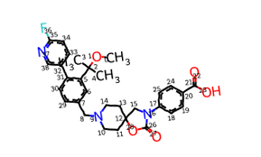 COC(C)(C)c1cc(CN2CCC3(CC2)CN(c2ccc(C(=O)O)cc2)C(=O)O3)ccc1-c1ccc(F)nc1